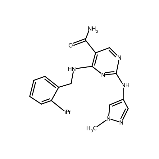 CC(C)c1ccccc1CNc1nc(Nc2cnn(C)c2)ncc1C(N)=O